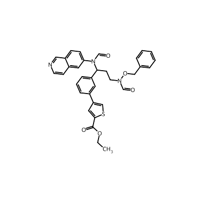 CCOC(=O)c1cc(-c2cccc(C(CCN(C=O)OCc3ccccc3)N(C=O)c3ccc4cnccc4c3)c2)cs1